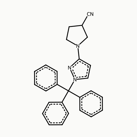 N#CC1CCN(c2ccn(C(c3ccccc3)(c3ccccc3)c3ccccc3)n2)C1